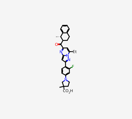 CCc1cc(C(=O)C2CCc3ccccc3[C@H]2C)nc2cc(-c3ccc(N4CCC(C)(C(=O)O)C4)cc3F)nn12